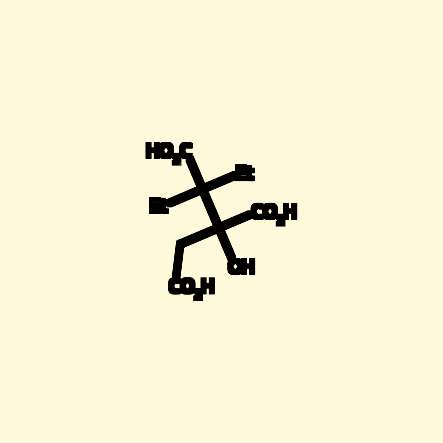 CCC(CC)(C(=O)O)C(O)(CC(=O)O)C(=O)O